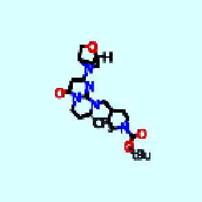 CC(C)(C)OC(=O)N1CCC(CN2c3nc(N4C[C@@H]5CC4CO5)cc(=O)n3CC[C@H]2C(F)(F)F)CC1